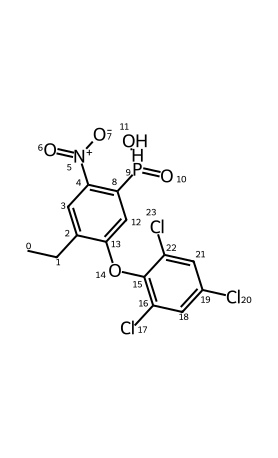 CCc1cc([N+](=O)[O-])c([PH](=O)O)cc1Oc1c(Cl)cc(Cl)cc1Cl